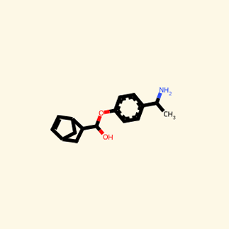 CC(N)c1ccc(OC(O)C2CC3C=CC2C3)cc1